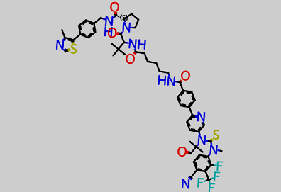 Cc1ncsc1-c1ccc(CNC(=O)[C@@H]2CCCN2C(=O)C(NC(=O)CCCCCNC(=O)c2ccc(-c3ccc(N(C(=S)N(C)c4ccc(C#N)c(C(F)(F)F)c4F)C(C)(C)C=O)cn3)cc2)C(C)(C)C)cc1